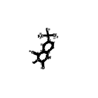 Cn1c(=O)[nH]c2ccc(C(F)(C(F)(F)F)C(F)(F)F)cc2c1=O